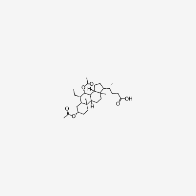 CC[C@@H]1C2C[C@H](OC(C)=O)CC[C@@]2(C)[C@H]2CCC3(C)C([C@H](C)CCC(=O)O)CC[C@H]3C2[C@@H]1OC(C)=O